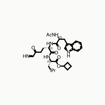 CC(=O)N[C@@H](Cc1c[nH]c2ccccc12)C(=O)N[C@@H](CCC(=O)C=N)C(=O)N[C@@H](CC(C)C)C(=O)OC1CCC1